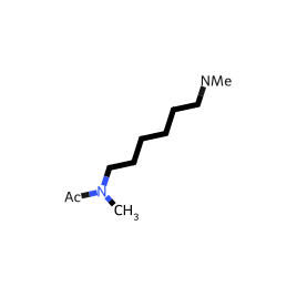 CNCCCCCCN(C)C(C)=O